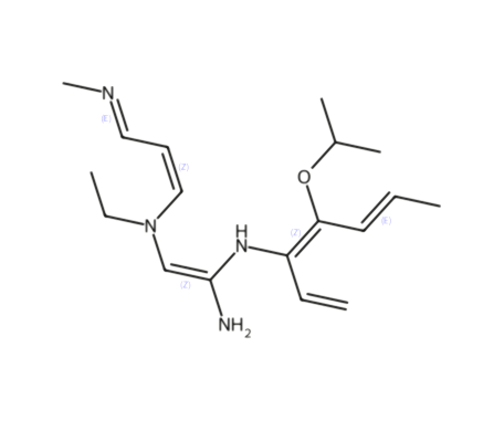 C=C/C(N/C(N)=C\N(/C=C\C=N\C)CC)=C(\C=C\C)OC(C)C